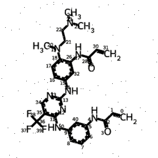 C=CC(=O)Nc1cccc(Nc2nc(Nc3ccc(N(C)CCN(C)C)c(NC(=O)C=C)c3)ncc2C(F)(F)F)c1